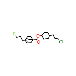 O=C(OC1CCC(CCCCl)CC1)C12CCC(CCCF)(CC1)CC2